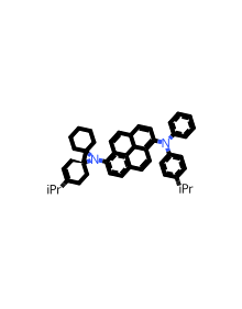 CC(C)C1=CC[C@]2(CC1)N(c1ccc3c4c1C=CC1C=CC(N(c5ccccc5)c5ccc(C(C)C)cc5)=C(C=C3)C41)C21CCCCC1